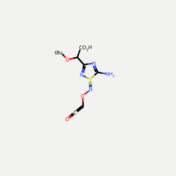 CC(C)(C)OC(C(=O)O)C1=NS(=NOC=C=O)C(N)=N1